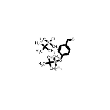 CC(C)(C)[Si](C)(C)Cl.CC(C)(C)[Si](C)(C)Oc1ccc(C=O)cc1